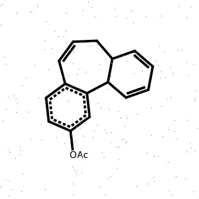 CC(=O)Oc1ccc2c(c1)C1C=CC=CC1CC=C2